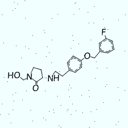 O=C1[C@@H](NCCc2ccc(OCc3cccc(F)c3)cc2)CCN1CO